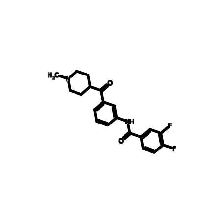 CN1CCC(C(=O)c2cccc(NC(=O)c3ccc(F)c(F)c3)c2)CC1